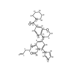 C=CCC/N=c1/cc(N2CCOc3cc(C(=O)N4CCCCC4)cnc32)cc(-n2ccnc2)n1C=O